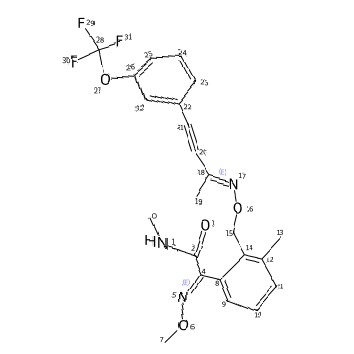 CNC(=O)/C(=N/OC)c1cccc(C)c1CO/N=C(\C)C#Cc1cccc(OC(F)(F)F)c1